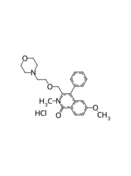 COc1ccc2c(=O)n(C)c(COCCN3CCOCC3)c(-c3ccccc3)c2c1.Cl